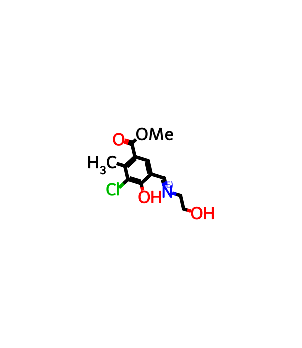 COC(=O)c1cc(/C=N/CCO)c(O)c(Cl)c1C